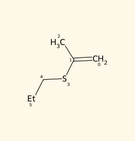 C=C(C)SCCC